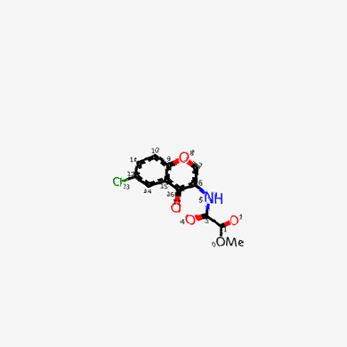 COC(=O)C(=O)Nc1coc2ccc(Cl)cc2c1=O